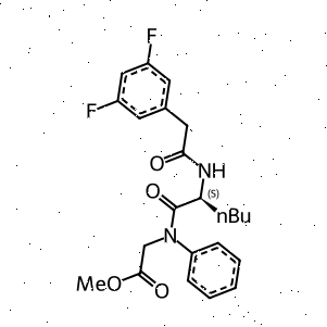 CCCC[C@H](NC(=O)Cc1cc(F)cc(F)c1)C(=O)N(CC(=O)OC)c1ccccc1